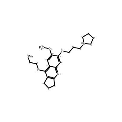 COCCNc1c2c(nc3cc(OCCCN4CCCC4)c(OC(F)(F)F)cc13)CCC2